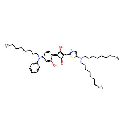 CCCCCCCCN(CCCCCCCC)c1cnc(C2=C(O)/C(=C3C=C/C(=[N+](\CCCCCCCC)c4ccccc4)C=C\3O)C2=O)s1